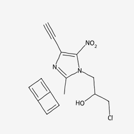 C#Cc1nc(C)n(CC(O)CCl)c1[N+](=O)[O-].c1cc2ccc1-2